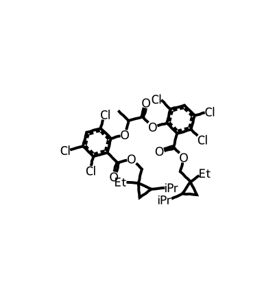 CCC1(COC(=O)c2c(Cl)c(Cl)cc(Cl)c2OC(=O)C(C)Oc2c(Cl)cc(Cl)c(Cl)c2C(=O)OCC2(CC)CC2C(C)C)CC1C(C)C